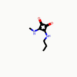 [CH2]CCNc1c(NC)c(=O)c1=O